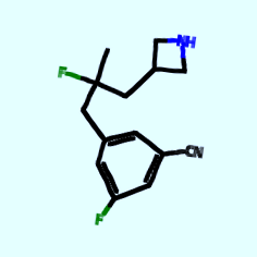 CC(F)(Cc1cc(F)cc(C#N)c1)CC1CNC1